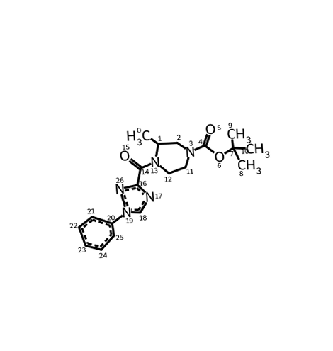 CC1CN(C(=O)OC(C)(C)C)CCN1C(=O)c1ncn(-c2ccccc2)n1